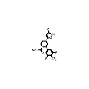 COC(=O)N1CC[C@H](c2cc(=O)[nH]o2)C[C@H]1c1cc(F)c(C(F)(F)F)c(F)c1